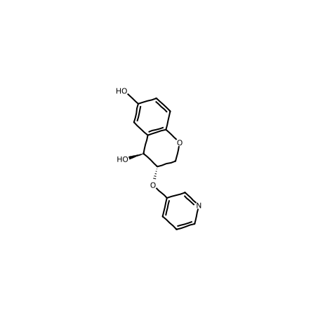 Oc1ccc2c(c1)[C@H](O)[C@@H](Oc1cccnc1)CO2